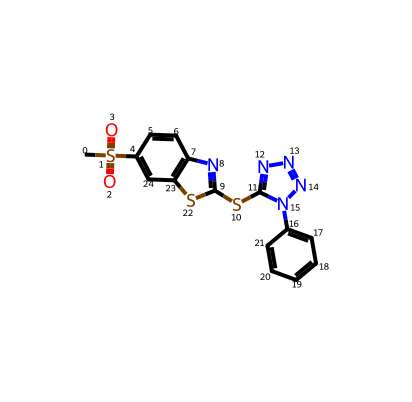 CS(=O)(=O)c1ccc2nc(Sc3nnnn3-c3ccccc3)sc2c1